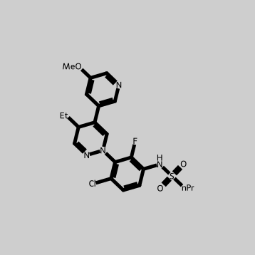 CCCS(=O)(=O)Nc1ccc(Cl)c(N2C=C(c3cncc(OC)c3)C(CC)C=N2)c1F